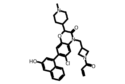 C=CC(=O)N1CC(CN2C(=O)C(C3CCN(C)CC3)Oc3cc(-c4cc(O)cc5ccccc45)c(Cl)cc32)C1